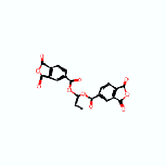 CCC(OC(=O)c1ccc2c(c1)C(=O)OC2=O)OC(=O)c1ccc2c(c1)C(=O)OC2=O